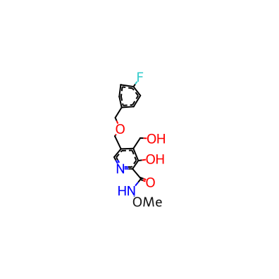 CONC(=O)c1ncc(COCc2ccc(F)cc2)c(CO)c1O